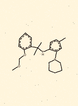 COCOc1ccccc1C(C)(C)Pc1ccc(C)cc1N1CCCCC1